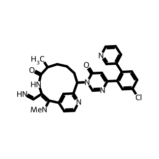 CN/C1=C(\C=N)NC(=O)C(C)CCCC(n2cnc(-c3cc(Cl)ccc3-c3cccnc3)cc2=O)c2cc1ccn2